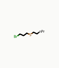 CCCCCSCCCBr